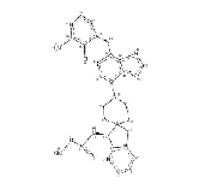 CC(C)(C)OC(=O)N[C@@H]1c2ncccc2CC12CCN(c1ncc(Sc3ccnc(N)c3Cl)c3nccn13)CC2